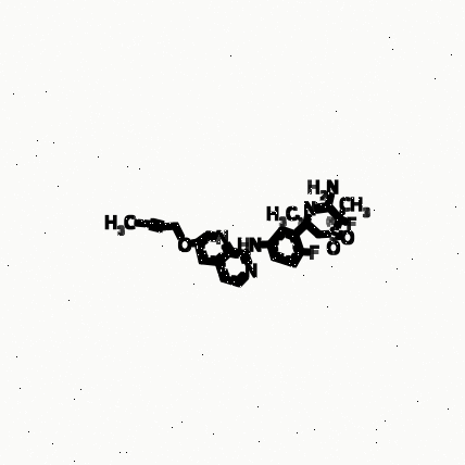 CC#CCOc1cnc2c(Nc3ccc(F)c([C@]4(C)CS(=O)(=O)[C@@](C)(F)C(N)=N4)c3)nccc2c1